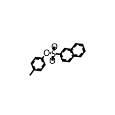 Cc1ccc(OS(=O)(=O)c2ccc3ccccc3c2)cc1